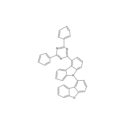 c1ccc(-c2nc(-c3ccccc3)nc(-c3cccc4c3c3ccccc3n4-c3cccc4oc5ccccc5c34)n2)cc1